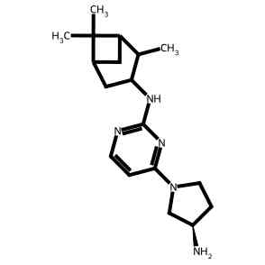 CC1C(Nc2nccc(N3CC[C@@H](N)C3)n2)CC2CC1C2(C)C